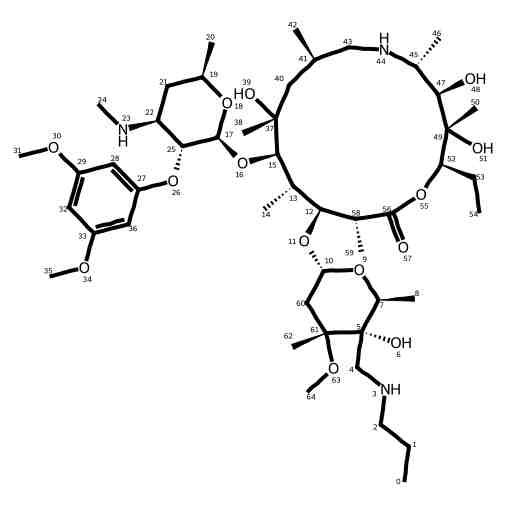 CCCNC[C@]1(O)[C@H](C)O[C@@H](O[C@H]2[C@H](C)[C@@H](O[C@@H]3O[C@H](C)C[C@H](NC)[C@H]3Oc3cc(OC)cc(OC)c3)[C@](C)(O)C[C@@H](C)CN[C@H](C)[C@@H](O)[C@](C)(O)[C@@H](CC)OC(=O)[C@@H]2C)C[C@@]1(C)OC